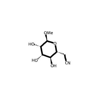 CO[C@H]1O[C@H](CC#N)[C@@H](O)[C@H](O)[C@@H]1O